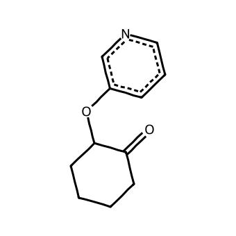 O=C1CCCCC1Oc1cccnc1